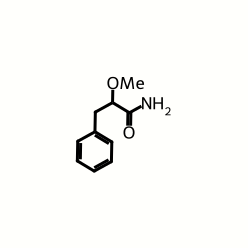 COC(Cc1ccccc1)C(N)=O